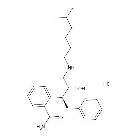 CC(C)CCCCNC[C@H](O)[C@@H](Cc1ccccc1)c1ccccc1C(N)=O.Cl